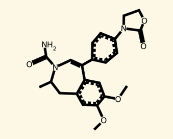 COc1cc2c(cc1OC)C(c1ccc(N3CCOC3=O)cc1)=CN(C(N)=O)C(C)C2